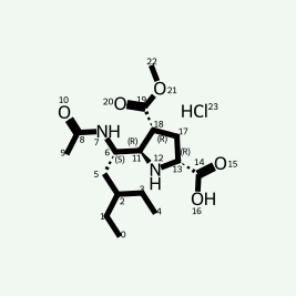 CCC(CC)C[C@H](NC(C)=O)[C@@H]1N[C@@H](C(=O)O)C[C@H]1C(=O)OC.Cl